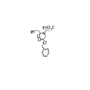 CCOC(=O)[C@H](C)N(CC(=O)OCc1ccccc1)C(=O)CBr